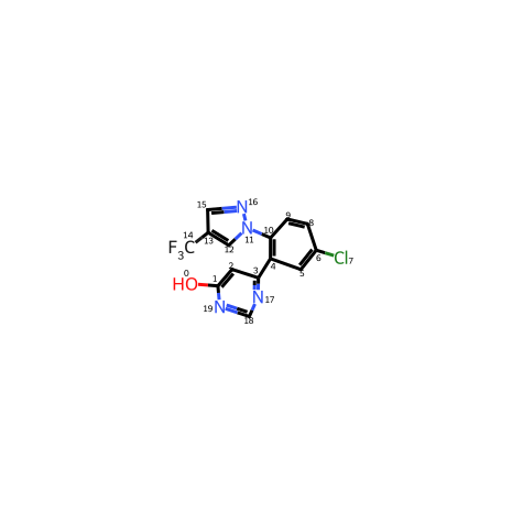 Oc1cc(-c2cc(Cl)ccc2-n2cc(C(F)(F)F)cn2)ncn1